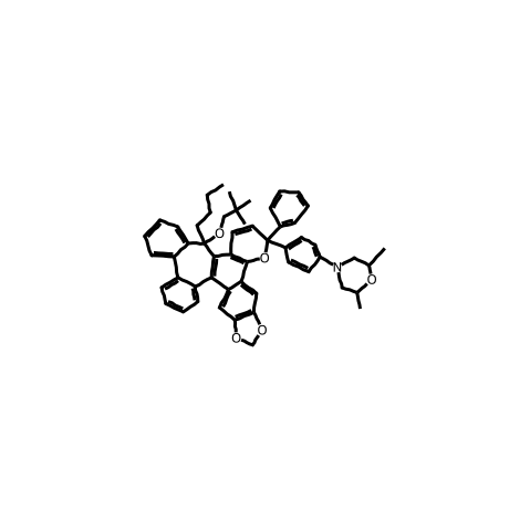 CCCCC1(OCC(C)(C)C)c2ccccc2-c2ccccc2-c2c1c1c(c3cc4c(cc23)OCO4)OC(c2ccccc2)(c2ccc(N3CC(C)OC(C)C3)cc2)C=C1